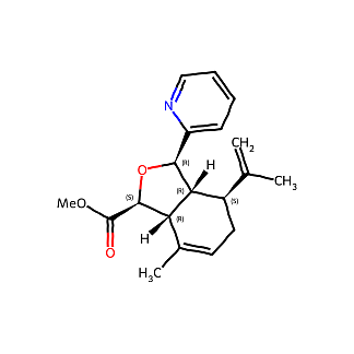 C=C(C)[C@H]1CC=C(C)[C@H]2[C@@H]1[C@H](c1ccccn1)O[C@@H]2C(=O)OC